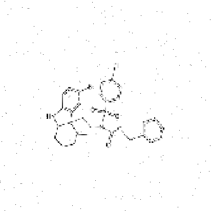 C=C1CCCC2Nc3ccc(Br)cc3C12CCN(C(=O)OCc1ccccc1)S(=O)(=O)c1ccc(Cl)cc1